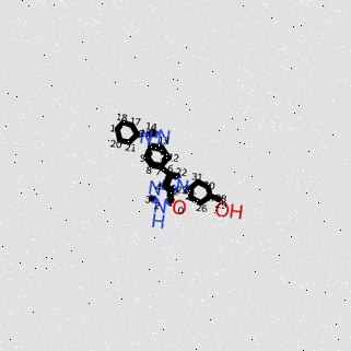 O=c1[nH]cnc2c(-c3ccc4c(c3)ncn4C3CCCCC3)cn(C3CCC(CO)CC3)c12